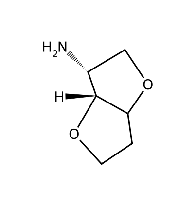 N[C@@H]1COC2CCO[C@@H]21